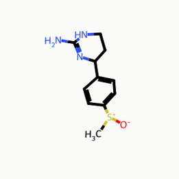 C[S+]([O-])c1ccc(C2CCNC(N)=N2)cc1